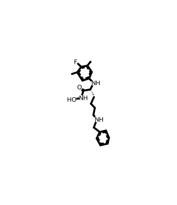 Cc1cc(N[C@H](CCCCNCc2ccccc2)C(=O)NO)cc(C)c1F